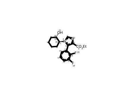 CCOC(=O)c1ncn([C@H]2CCCC[C@@H]2O)c1-c1cccc(F)c1F